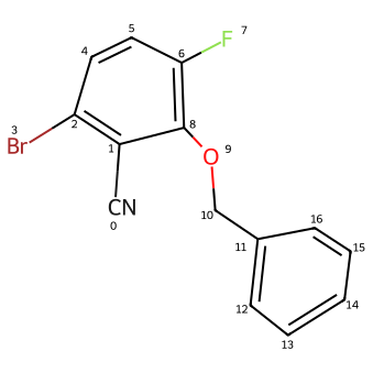 N#Cc1c(Br)ccc(F)c1OCc1ccccc1